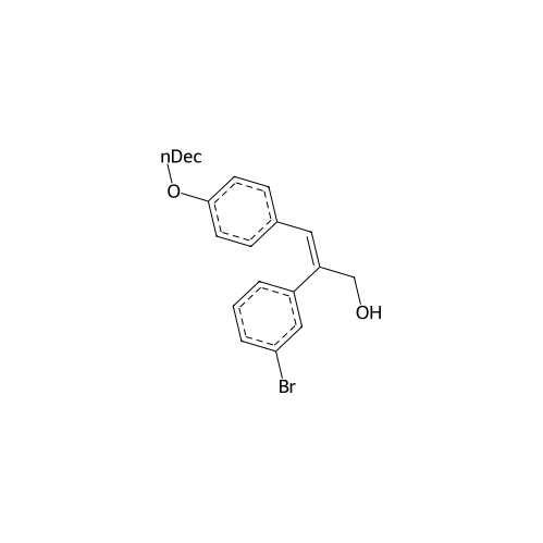 CCCCCCCCCCOc1ccc(C=C(CO)c2cccc(Br)c2)cc1